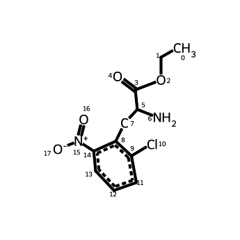 CCOC(=O)C(N)Cc1c(Cl)cccc1[N+](=O)[O-]